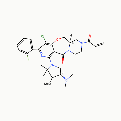 C=CC(=O)N1CCN2C(=O)c3c(N4C[C@@H](N(C)C)C(OC)C4(C)C)nc(-c4ccccc4F)c(Cl)c3OC[C@H]2C1